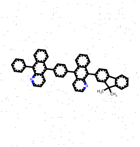 CC1(C)c2ccccc2-c2ccc(-c3c4ccccc4c(-c4ccc(-c5c6ccccc6c(-c6ccccc6)c6ncccc56)cc4)c4cccnc34)cc21